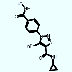 CCCc1c(C(=O)NC2CC2)nnn1-c1ccc(C(=O)NCC)cc1